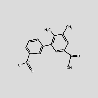 Cc1nc(C(=O)O)cc(-c2cccc([N+](=O)[O-])c2)c1C